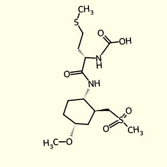 CO[C@@H]1CC[C@H](NC(=O)[C@H](CCSC)NC(=O)O)[C@@H](CS(C)(=O)=O)C1